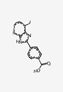 O=C(O)c1ccc(-c2nc3c(I)ccnc3[nH]2)cc1